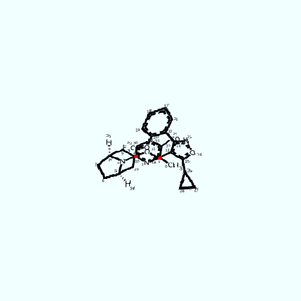 Cc1nc(N2[C@@H]3CC[C@H]2CC(OCc2c(-c4ccccc4OC(F)(F)F)noc2C2CC2)C3)cnc1C(=O)O